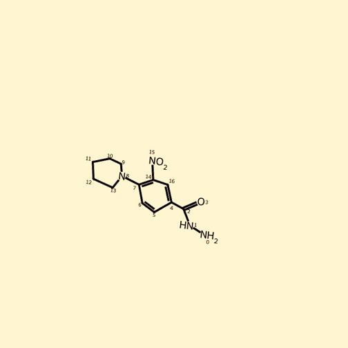 NNC(=O)c1ccc(N2CCCCC2)c([N+](=O)[O-])c1